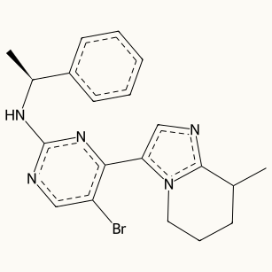 CC1CCCn2c(-c3nc(N[C@@H](C)c4ccccc4)ncc3Br)cnc21